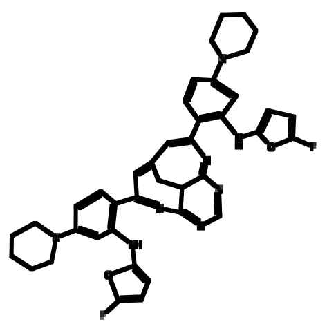 Fc1ccc(Nc2cc(N3CCCCC3)ccc2C2=CC3=CC(c4ccc(N5CCCCC5)cc4Nc4ccc(F)o4)=NC4=NC=NC(=N2)C4C3)o1